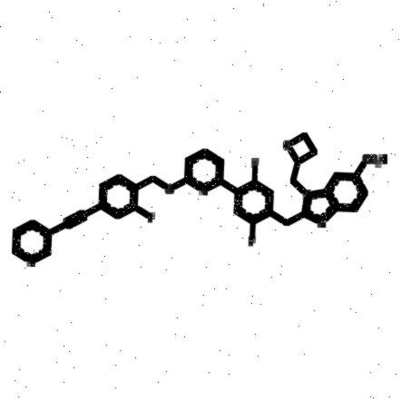 O=C(O)c1ccc2nc(Cc3cc(F)c(-c4cccc(OCc5ccc(C#Cc6cccnc6)cc5F)n4)cc3F)n(CC3CCO3)c2c1